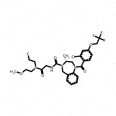 COCCN(CCF)C(=O)CNC(=O)N1Cc2ccccc2N(C(=O)c2ccc(OCC(F)(F)F)cc2Cl)C[C@H]1C